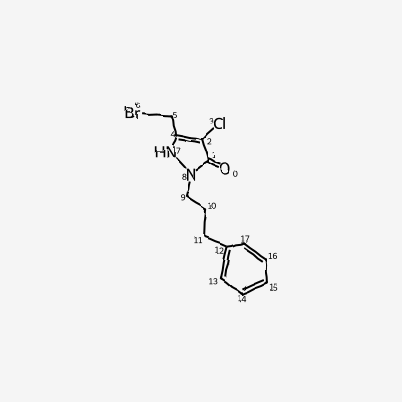 O=c1c(Cl)c(CBr)[nH]n1CCCc1ccccc1